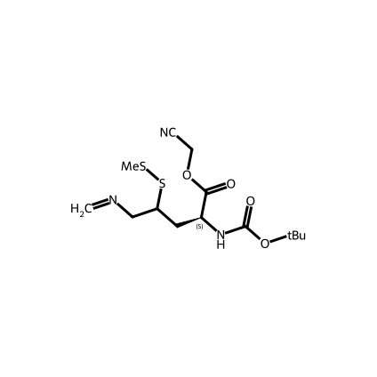 C=NCC(C[C@H](NC(=O)OC(C)(C)C)C(=O)OCC#N)SSC